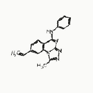 C=Cc1ccc2c(Nc3ccccc3)nc3nnc(C)n3c2c1